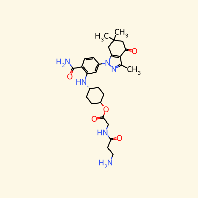 Cc1nn(-c2ccc(C(N)=O)c(N[C@H]3CC[C@H](OC(=O)CNC(=O)CCN)CC3)c2)c2c1C(=O)CC(C)(C)C2